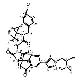 C[C@H](Cn1cc(-c2ccc3c(c2)C(=O)C[C@]32NC(=O)N(CC(=O)N(Cc3ccc(F)cc3)C3(C(F)(F)F)CC3)C2=O)cn1)N(C)C